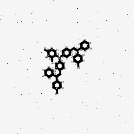 Cc1ccc(C(=Cc2ccc(N(c3ccc(C=C(c4ccccc4)c4ccc(C)cc4)cc3)c3ccc(C)cc3C)cc2)c2ccccc2)cc1